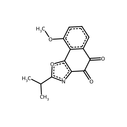 COc1cccc2c1-c1oc(C(C)C)nc1C(=O)C2=O